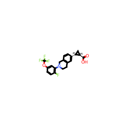 O=C(O)[C@@H]1C[C@H]1c1ccc2c(c1)CCN(c1cc(OC(F)(F)F)ccc1F)C2